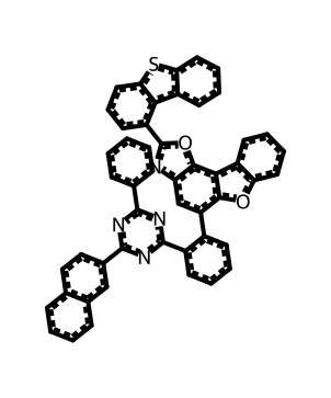 c1ccc(-c2nc(-c3ccc4ccccc4c3)nc(-c3ccccc3-c3cc4nc(-c5cccc6sc7ccccc7c56)oc4c4c3oc3ccccc34)n2)cc1